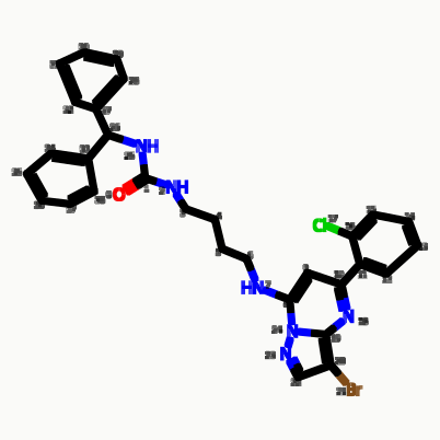 O=C(NCCCCNc1cc(-c2ccccc2Cl)nc2c(Br)cnn12)NC(c1ccccc1)c1ccccc1